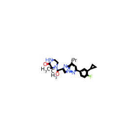 CC(C)c1cc(-c2ccc(F)c(C3CC3)c2)nn2cc(C(=O)N3CCNC(=O)C3(C)C)nc12